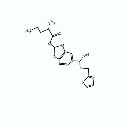 CCCC(C)C(=O)OC1Oc2ccc(C(O)CCc3cccs3)cc2O1